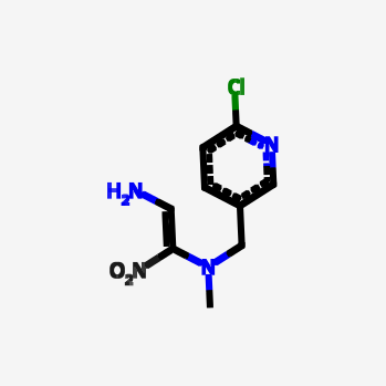 CN(Cc1ccc(Cl)nc1)C(=CN)[N+](=O)[O-]